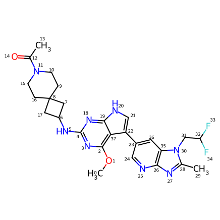 COc1nc(NC2CC3(CCN(C(C)=O)CC3)C2)nc2[nH]cc(-c3cnc4nc(C)n(CC(F)F)c4c3)c12